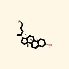 CC(C)CCCC(C)[C@H]1CC[C@H]2C3=CC=C4C[C@@H](O)CC[C@]4(C)[C@H]3CC[C@]12C